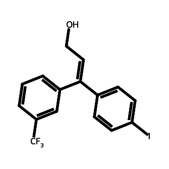 OCC=C(c1ccc(I)cc1)c1cccc(C(F)(F)F)c1